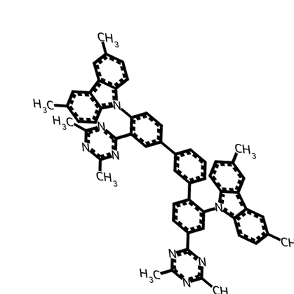 Cc1ccc2c(c1)c1cc(C)ccc1n2-c1cc(-c2nc(C)nc(C)n2)ccc1-c1cccc(-c2ccc(-n3c4ccc(C)cc4c4cc(C)ccc43)c(-c3nc(C)nc(C)n3)c2)c1